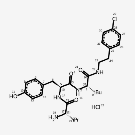 CCC(C)[C@H](NC(=O)[C@H](Cc1ccc(O)cc1)NC(=O)[C@@H](N)C(C)C)C(=O)NCCc1ccc(Cl)cc1.Cl